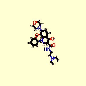 CCN(CC)CCNC(=O)c1cn2c3c(c(N4CCOCC4)ccc3c1=O)Oc1ccccc1-2